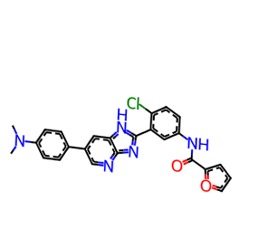 CN(C)c1ccc(-c2cnc3nc(-c4cc(NC(=O)c5ccco5)ccc4Cl)[nH]c3c2)cc1